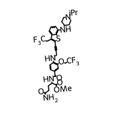 COC(=O)C(CCC(N)=O)NC(=O)c1ccc(NCC#Cc2sc3c(NC4CCN(C(C)C)CC4)cccc3c2CC(F)(F)F)c(OCC(F)(F)F)c1